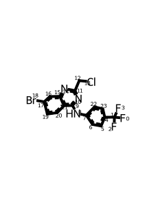 FC(F)(F)c1ccc(Nc2nc(CCl)nc3cc(Br)ccc23)cc1